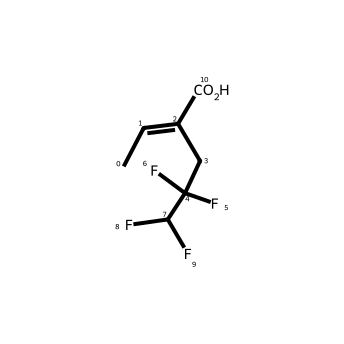 CC=C(CC(F)(F)C(F)F)C(=O)O